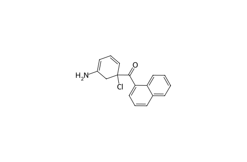 NC1=CC=CC(Cl)(C(=O)c2cccc3ccccc23)C1